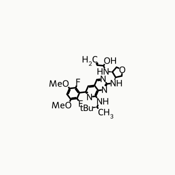 C=CC(O)N[C@H]1COC[C@H]1Nc1ncc2cc(-c3c(F)c(OC)cc(OC)c3F)nc(N[C@@H](C)C(C)(C)C)c2n1